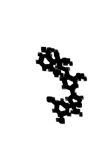 Cc1cc(C2=NOC(c3cc(Cl)cc(Cl)c3)(C(F)(F)F)C2)ccc1CN=S(C)(=O)c1c(C)cccc1C